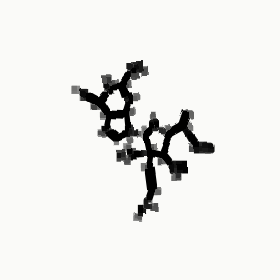 C[C@@H](N=O)[C@H]1O[C@@H](n2cnc3c(=S)[nH]c(N)nc32)[C@@](N)(C#CCF)C1O